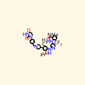 CNC(=O)c1ccccc1Nc1cc(Nc2cc(C)c(C3CCN(Cc4ccc(N5CCC(=O)NC5=O)cc4)CC3)cc2OC(C)C)ncc1C(F)(F)F